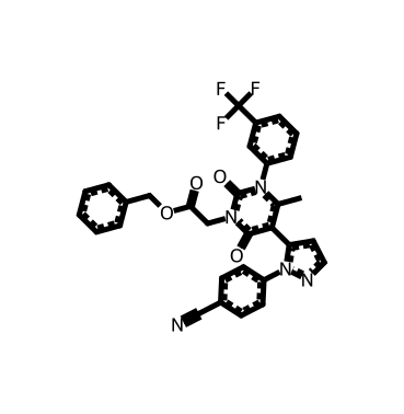 Cc1c(-c2ccnn2-c2ccc(C#N)cc2)c(=O)n(CC(=O)OCc2ccccc2)c(=O)n1-c1cccc(C(F)(F)F)c1